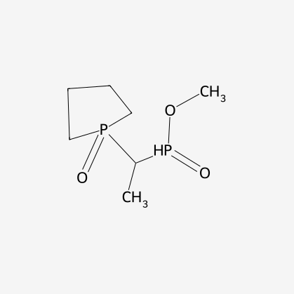 CO[PH](=O)C(C)P1(=O)CCCC1